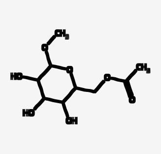 COC1OC(COC(C)=O)C(O)C(O)C1O